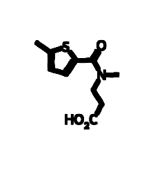 Cc1ccc(C(=O)N(C)CCC(=O)O)s1